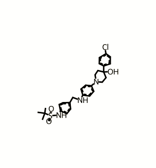 CC(C)(C)S(=O)(=O)Nc1ccc(CNc2ccc(N3CCC(O)(c4ccc(Cl)cc4)CC3)cc2)cc1